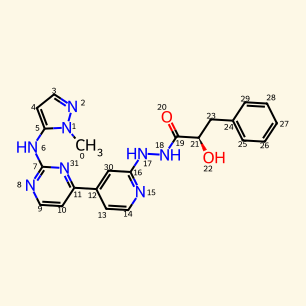 Cn1nccc1Nc1nccc(-c2ccnc(NNC(=O)[C@H](O)Cc3ccccc3)c2)n1